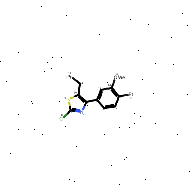 CCc1ccc(-c2nc(Cl)sc2CC(C)C)cc1OC